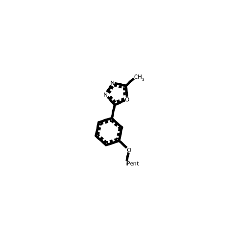 CCCC(C)Oc1cccc(-c2nnc(C)o2)c1